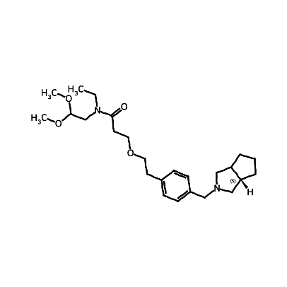 CCN(CC(OC)OC)C(=O)CCOCCc1ccc(CN2CC3CCC[C@@H]3C2)cc1